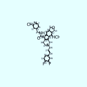 Cl.O=C(NCc1ccnc(Cl)c1)n1c2c(c3cc4c(cc31)COC4)CN(C/C=C/c1ccc(F)c(F)c1)CC2